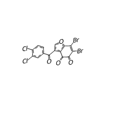 O=C1C(=O)c2c(C(=O)c3ccc(Cl)c(Cl)c3)coc2C(Br)=C1Br